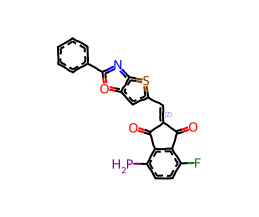 O=C1/C(=C/c2cc3oc(-c4ccccc4)nc3s2)C(=O)c2c(P)ccc(F)c21